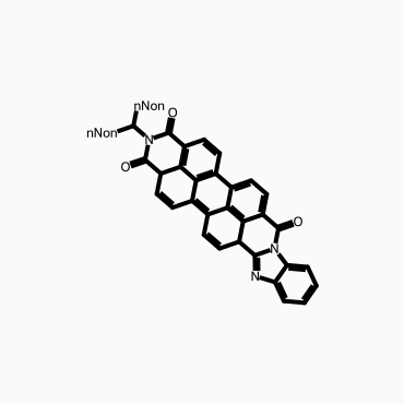 CCCCCCCCCC(CCCCCCCCC)N1C(=O)c2ccc3c4c(c5c6c7c(ccc63)C(=O)n3c(nc6ccccc63)C7C=C5)C=CC(C1=O)c24